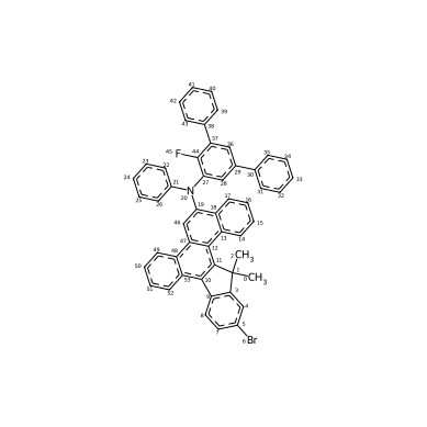 CC1(C)c2cc(Br)ccc2-c2c1c1c3ccccc3c(N(c3ccccc3)c3cc(-c4ccccc4)cc(-c4ccccc4)c3F)cc1c1ccccc21